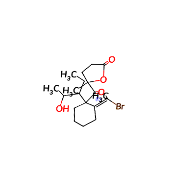 CCC(C(C)O)C1(C(=O)C2(C)CCC(=O)O2)CCCC/C1=C(/C)Br